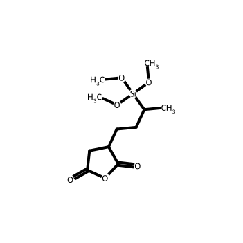 CO[Si](OC)(OC)C(C)CCC1CC(=O)OC1=O